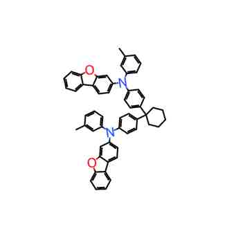 Cc1cccc(N(c2ccc(C3(c4ccc(N(c5cccc(C)c5)c5ccc6c(c5)oc5ccccc56)cc4)CCCCC3)cc2)c2ccc3c(c2)oc2ccccc23)c1